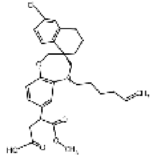 C=CCCCCN1C[C@@]2(CCCc3cc(Cl)ccc32)COc2ccc(C(CC(=O)O)C(=O)OC)cc21